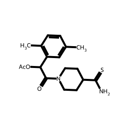 CC(=O)OC(C(=O)N1CCC(C(N)=S)CC1)c1cc(C)ccc1C